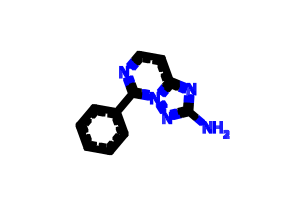 Nc1nc2ccnc(-c3ccccc3)n2n1